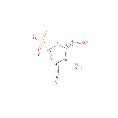 O=C=C1C=C(S(=O)(=O)O)CC(=C=O)C1.P